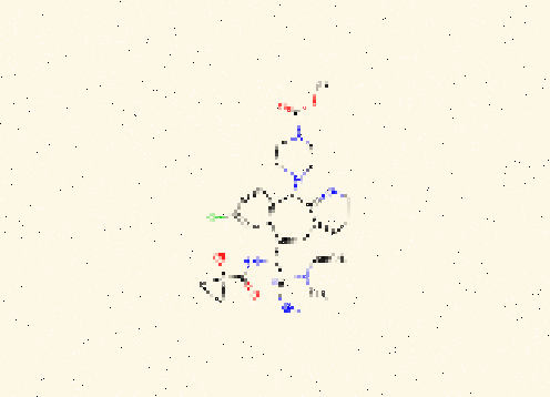 C=CN(C)/C(=C\N)C(NC(=O)C1(O)CC1)C1=Cc2cccnc2C(N2CCN(C(=O)OC(C)C)CC2)c2ccc(Cl)cc21